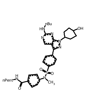 CCCCCNC(=O)c1ccc(N(C)S(=O)(=O)c2ccc(-c3nn(C4CCC(O)CC4)c4nc(NCCCC)ncc34)cc2)cc1